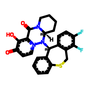 O=C1c2c(O)c(=O)ccn2N([C@@H]2c3ccccc3SCc3c2ccc(F)c3F)[C@@H]2CCCCN12